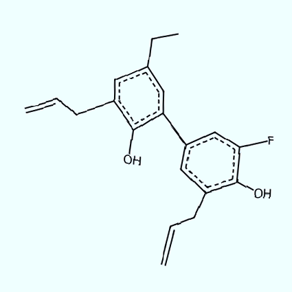 C=CCc1cc(-c2cc(CC)cc(CC=C)c2O)cc(F)c1O